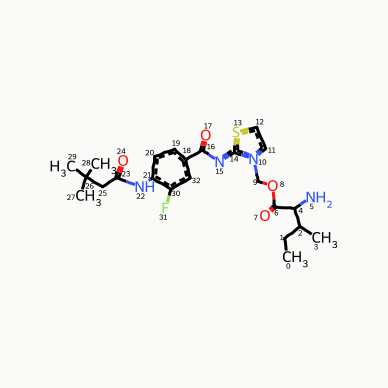 CCC(C)C(N)C(=O)OCn1ccsc1=NC(=O)c1ccc(NC(=O)CC(C)(C)C)c(F)c1